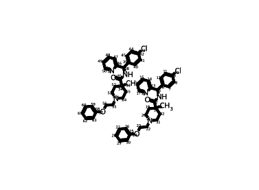 CC1(C(=O)NC(c2ccc(Cl)cc2)c2ccccn2)CCN(CCOc2ccccc2)CC1.CC1(C(=O)NC(c2ccc(Cl)cc2)c2ccccn2)CCN(CCOc2ccccc2)CC1